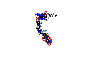 CO[C@@H](C(=O)N1Cc2[nH]nc(NC(=O)c3ccc(N4CCC(CN5CCC(c6cc7c(cc6F)C(=O)N(C6CCC(=O)NC6=O)C7=O)CC5)CC4)cc3)c2C1)c1ccccc1